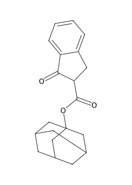 O=C(OC12CC3CC(CC(C3)C1)C2)C1Cc2ccccc2C1=O